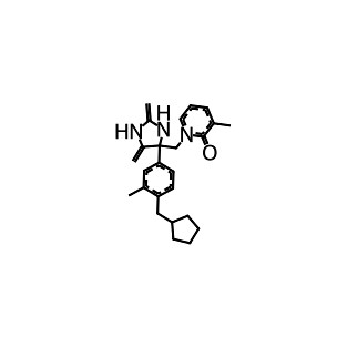 C=C1NC(=C)C(Cn2cccc(C)c2=O)(c2ccc(CC3CCCC3)c(C)c2)N1